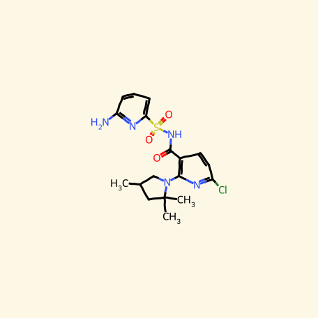 CC1CN(c2nc(Cl)ccc2C(=O)NS(=O)(=O)c2cccc(N)n2)C(C)(C)C1